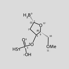 B[C@H]1CC(OP(=O)(O)S)[C@@H](COC)O1